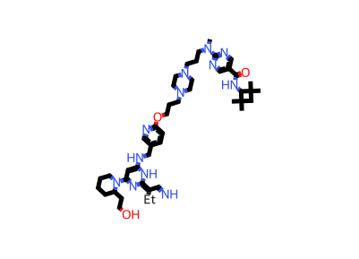 CC/C(C=N)=C1\N=C(N2CCCCC2CCO)C=C(NCc2ccc(OCCCN3CCN(CCCN(C)c4ncc(C(=O)NC5C(C)(C)CC5(C)C)cn4)CC3)nc2)N1